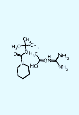 CC(=O)O.CC(C)(C)OC(=O)N1CCCCC1.N=C(N)N